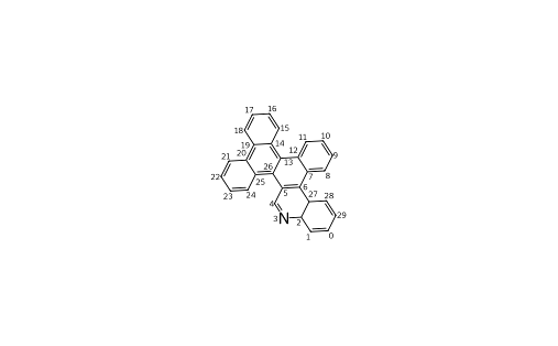 C1=CC2N=Cc3c(c4ccccc4c4c5ccccc5c5ccccc5c34)C2C=C1